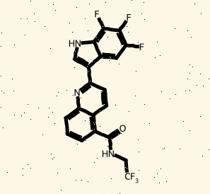 O=C(NCC(F)(F)F)c1cccc2nc(-c3c[nH]c4c(F)c(F)c(F)cc34)ccc12